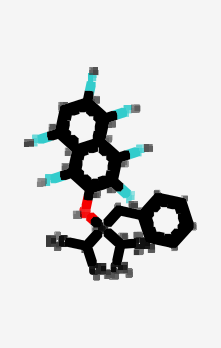 CC(C)[Si](Cc1ccccc1)(Oc1c(F)c(F)c2c(F)c(F)[c]c(F)c2c1F)C(C)C